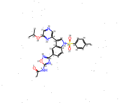 CC(=O)Nc1nc(-c2ccc3c(c2)c(-c2cncc(OC(C)C)n2)cn3S(=O)(=O)c2ccc(C)cc2)no1